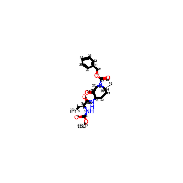 CC(C)C[C@H](NC(=O)OC(C)(C)C)C(=O)NC1CC[C@@H](C)N(C(=O)OCc2ccccc2)CC1=O